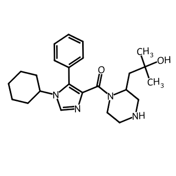 CC(C)(O)CC1CNCCN1C(=O)c1ncn(C2CCCCC2)c1-c1ccccc1